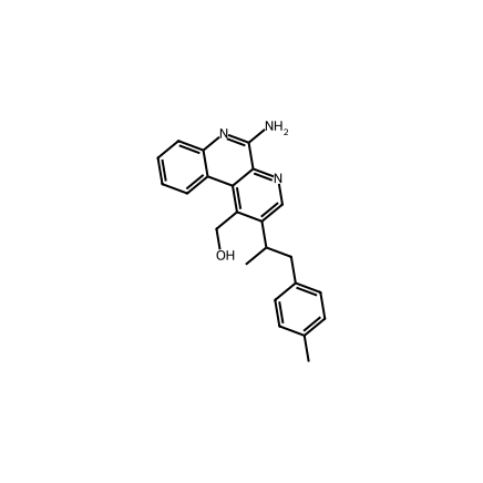 Cc1ccc(CC(C)c2cnc3c(N)nc4ccccc4c3c2CO)cc1